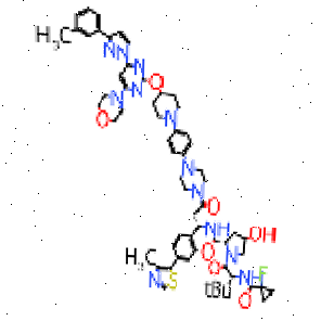 Cc1cccc(-c2ccn(-c3cc(N4CCOCC4)nc(OC4CCN(c5ccc(N6CCN(C(=O)C[C@H](NC(=O)[C@@H]7C[C@@H](O)CN7C(=O)[C@@H](NC(=O)C7(F)CC7)C(C)(C)C)c7ccc(-c8scnc8C)cc7)CC6)cc5)CC4)n3)n2)c1